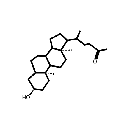 CC(=O)CCC(C)C1CCC2C3CCC4C[C@H](O)CC[C@]4(C)C3CC[C@]12C